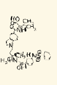 CC(C)[C@H](NC(=O)c1ccc2c(ccn2CCC(C)(C)NC[C@H](O)c2cccc(NS(=O)(=O)c3ccccc3)c2)c1)C(=O)O